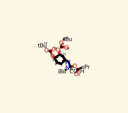 CCCC(=O)O[C@](Cc1ccc(OC(=O)OC(C)(C)C)c(OC(=O)OC(C)(C)C)c1)(NC(C)CC)C(=O)O